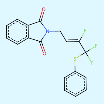 O=C1c2ccccc2C(=O)N1CC=C(F)C(F)(F)Sc1ccccc1